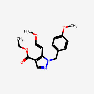 CCOC(=O)c1cnn(Cc2ccc(OC)cc2)c1/C=C/OC